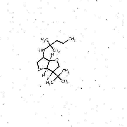 CCCC(C)(C)N[C@@H]1CO[C@H]2[C@@H]1OCC2(F)C(C)(C)C